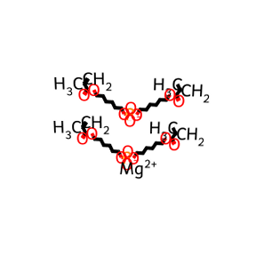 C=C(C)C(=O)OCCCCCCOP(=O)([O-])OCCCCCCOC(=O)C(=C)C.C=C(C)C(=O)OCCCCCCOP(=O)([O-])OCCCCCCOC(=O)C(=C)C.[Mg+2]